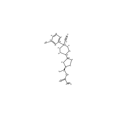 CC(OC(N)=O)[C@@H]1CCN(C2CCC(C#N)(c3cccc(F)c3)CC2)C1